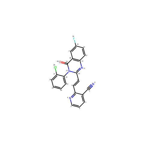 N#Cc1cccnc1C=Cc1nc2ccc(F)cc2c(=O)n1-c1ccccc1Cl